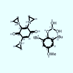 COc1cc(C(C)(C)C)c(OP(O)O)c(C(C)(C)C)c1.O=C1C=C(N2CC2)C(=O)C(N2CC2)=C1N1CC1